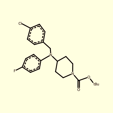 CC(C)(C)OC(=O)N1CCC(N(Cc2ccc(Cl)cc2)c2ccc(F)cc2)CC1